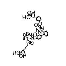 CCCCC(=O)N(Cc1ccc(-c2ccccc2-c2nnn(C(=O)Oc3cccc(CON(O)O)c3)n2)cc1)[C@H](C(=O)OCCCCON(O)O)C(C)C